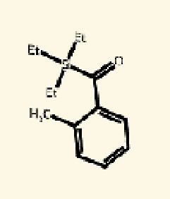 CC[Si](CC)(CC)C(=O)c1ccccc1C